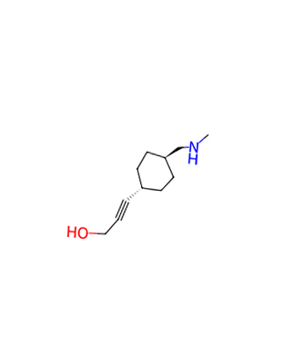 CNC[C@H]1CC[C@H](C#CCO)CC1